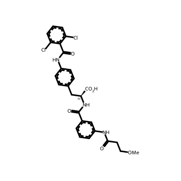 COCCC(=O)Nc1cccc(C(=O)N[C@@H](Cc2ccc(NC(=O)c3c(Cl)cccc3Cl)cc2)C(=O)O)c1